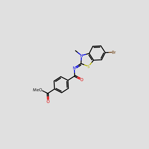 COC(=O)c1ccc(C(=O)/N=c2\sc3cc(Br)ccc3n2C)cc1